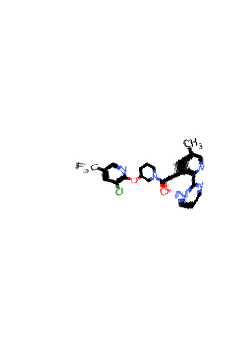 Cc1cnc(-c2ncccn2)c(C(=O)N2CCCC(Oc3ncc(C(F)(F)F)cc3Cl)C2)c1